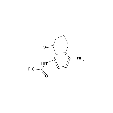 Nc1ccc(NC(=O)C(F)(F)F)c2c1CCCC2=O